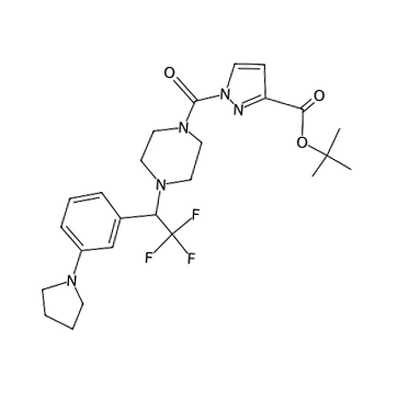 CC(C)(C)OC(=O)c1ccn(C(=O)N2CCN(C(c3cccc(N4CCCC4)c3)C(F)(F)F)CC2)n1